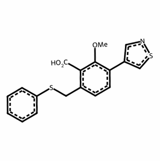 COc1c(-c2cnsc2)ccc(CSc2ccccc2)c1C(=O)O